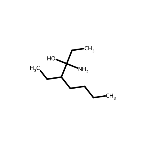 CCCCC(CC)C(N)(O)CC